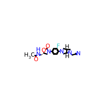 CC(=O)NC[C@H]1CN(c2ccc(N3C[C@@H]4CN(CC#N)[C@@H]4C3)c(F)c2)C(=O)O1